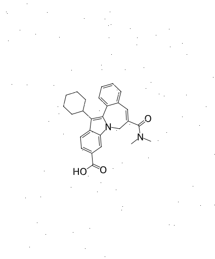 CN(C)C(=O)C1=Cc2ccccc2-c2c(C3CCCCC3)c3ccc(C(=O)O)cc3n2C1